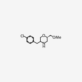 COC[C@H]1CNC(Cc2ccc(Cl)cc2)CO1